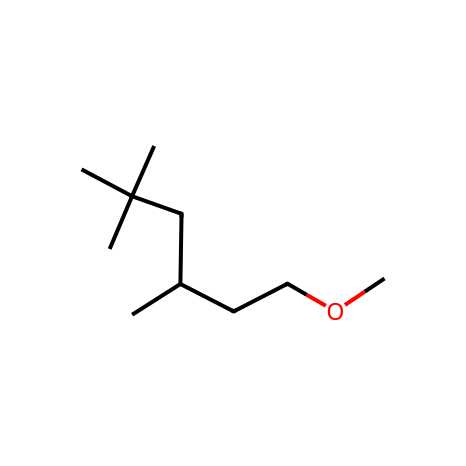 COCCC(C)CC(C)(C)C